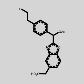 CC(=O)OC(c1ccc(CCCl)cc1)c1nc2cc(CC(=O)O)ccc2o1